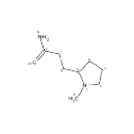 CN1CCCC1CCC(N)=O